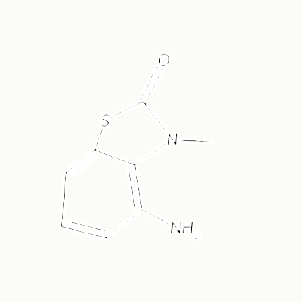 Cn1c(=O)sc2cccc(N)c21